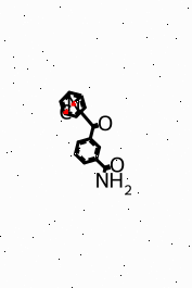 NC(=O)c1cccc(C(=O)N2Cc3ccc(cc3)C2)c1